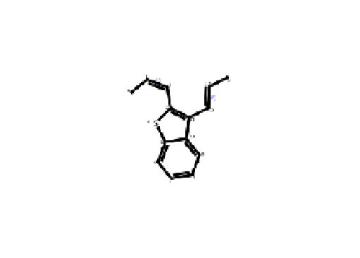 C/C=C\c1sc2ccccc2c1/C=C/C